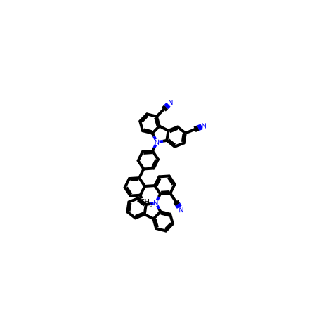 CC1C=CC=C(C2C=CC(n3c4ccc(C#N)cc4c4c(C#N)cccc43)=CC2)C1c1cccc(C#N)c1-n1c2ccccc2c2ccccc21